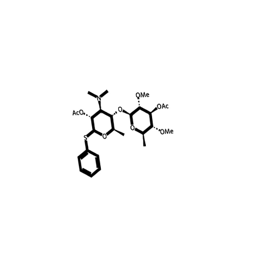 CO[C@H]1[C@H](O[C@H]2[C@H](N(C)C)[C@@H](OC(C)=O)C(Sc3ccccc3)O[C@@H]2C)O[C@H](C)[C@@H](OC)[C@@H]1OC(C)=O